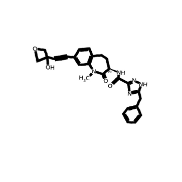 CN1C(=O)[C@H](NC(=O)c2n[nH]c(Cc3ccccc3)n2)CCc2ccc(C#CC3(O)COC3)cc21